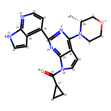 C[C@@H]1COCCN1c1nc(-c2ccnc3[nH]ccc23)nc2c1ccn2C(=O)C1CC1